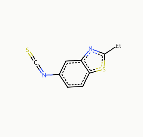 CCc1nc2cc(N=C=S)ccc2s1